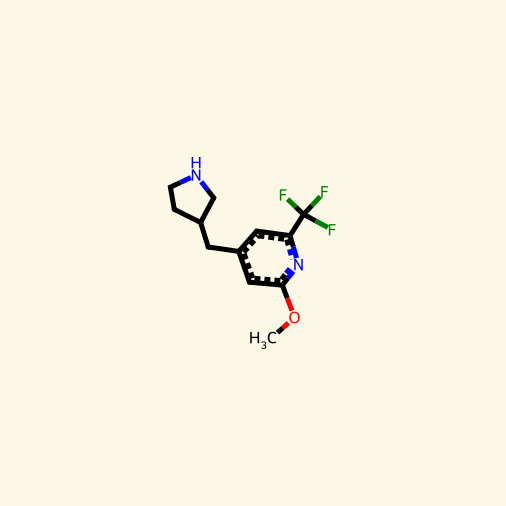 COc1cc(CC2CCNC2)cc(C(F)(F)F)n1